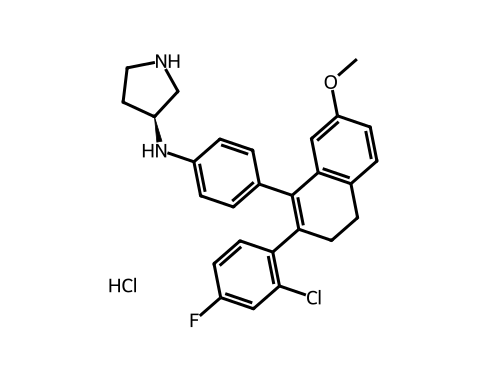 COc1ccc2c(c1)C(c1ccc(N[C@H]3CCNC3)cc1)=C(c1ccc(F)cc1Cl)CC2.Cl